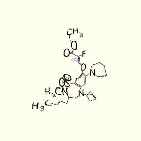 CCCCC1CN(C23CC(C2)C3)c2cc(N3CCCCC3)c(O/C=C(\F)C(=O)OCC)cc2S(=O)(=O)N1C